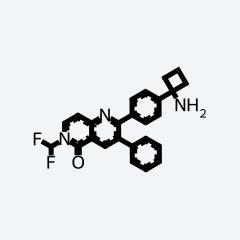 NC1(c2ccc(-c3nc4ccn(C(F)F)c(=O)c4cc3-c3ccccc3)cc2)CCC1